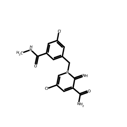 CNC(=O)c1cc(Cl)cc(Cn2cc(Cl)cc(C(N)=O)c2=N)c1